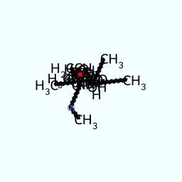 C=CCOC(=O)O[C@@H]1C(COC2OC(COC)[C@@H](OP(=O)(OCC=C)OCC=C)C(OCCC(CCCCCCC)OC)[C@H]2NC(=O)CCCCCCCCC/C=C\CCCCCC)O[C@@H](O)[C@H](NC(=O)CC(=O)CCCCCCCCCCC)C1OCCCCCCCCCC